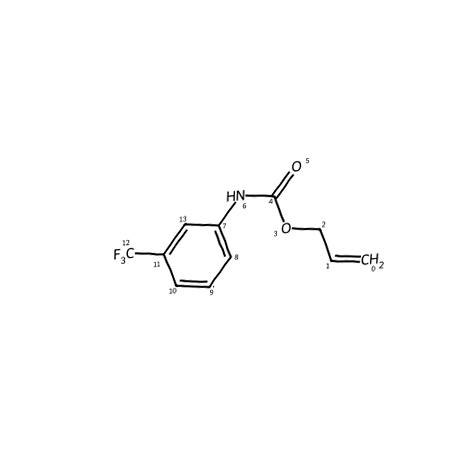 C=CCOC(=O)Nc1c[c]cc(C(F)(F)F)c1